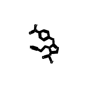 N#CCCn1c([N+](=O)[O-])cnc1Sc1ccc([N+](=O)[O-])cc1